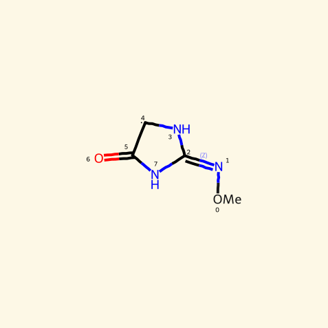 CO/N=C1/N[CH]C(=O)N1